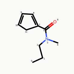 CCCN(C)C(=O)C1=CC=CC1